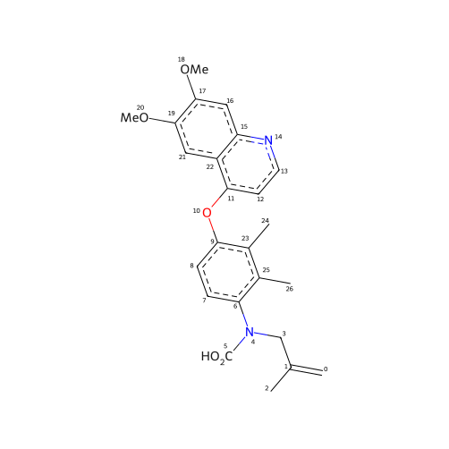 C=C(C)CN(C(=O)O)c1ccc(Oc2ccnc3cc(OC)c(OC)cc23)c(C)c1C